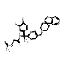 O=C(COC(=O)C(F)(F)F)NC(c1ccc(F)c(F)c1)(c1ccc(CN2CCC3(CC2)OCc2ccncc23)cn1)C(F)(F)F